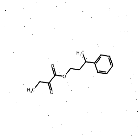 CCC(=O)C(=O)OCCC(C)c1ccccc1